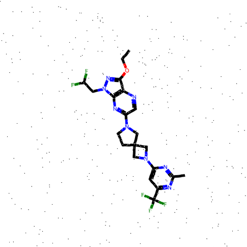 CCOc1nn(CC(F)F)c2nc(N3CCC4(CN(c5cc(C(F)(F)F)nc(C)n5)C4)C3)cnc12